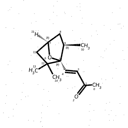 CC(=O)C=C[C@]12O[C@H](C[C@H]1C)CC2(C)C